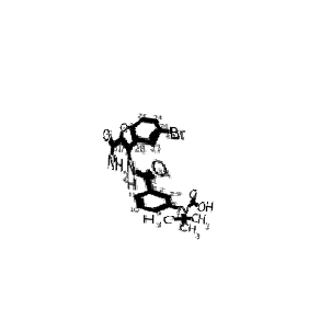 CC(C)(C)N(C(=O)O)c1cccc(C(=O)Nc2c(C(N)=O)oc3ccc(Br)cc23)c1